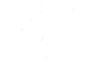 COc1ccc2cc(C(C)C(=O)OC(C)C(=O)OCC(=O)OCCCCO[N+](=O)[O-])ccc2c1